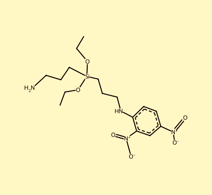 CCO[Si](CCCN)(CCCNc1ccc([N+](=O)[O-])cc1[N+](=O)[O-])OCC